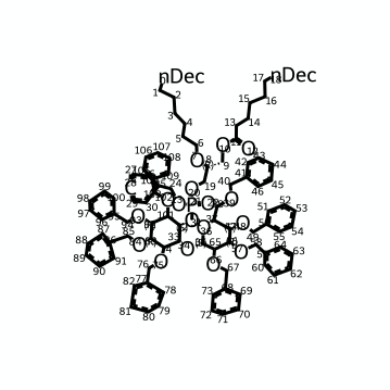 CCCCCCCCCCCCCCCCO[C@H](COC(=O)CCCCCCCCCCCCCCC)COP(=O)(OCc1ccccc1)O[C@@H]1C(O[C@@H]2OC(COCc3ccccc3)[C@H](OCc3ccccc3)[C@@H](OCc3ccccc3)C2OCc2ccccc2)C(OCc2ccccc2)[C@H](OCc2ccccc2)[C@@H](OCc2ccccc2)C1OCc1ccccc1